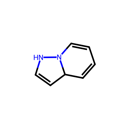 C1=CC2C=CNN2C=C1